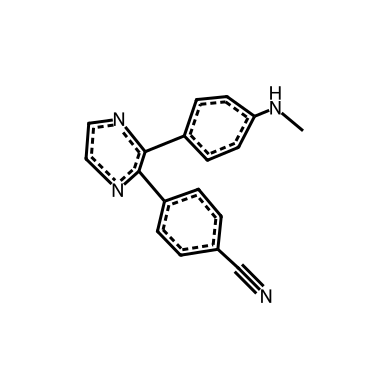 CNc1ccc(-c2nccnc2-c2ccc(C#N)cc2)cc1